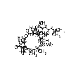 CC[C@H]1OC(=O)C(C)C(=O)[C@H](C)[C@@H](OC2OC(CN(C)C)CC(N(C)C)C2O)[C@](C)(OC)C[C@@H](C)CN(C)[C@H](C)[C@H]2NC(=O)O[C@@]21CC